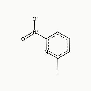 O=[N+]([O-])c1cccc(I)n1